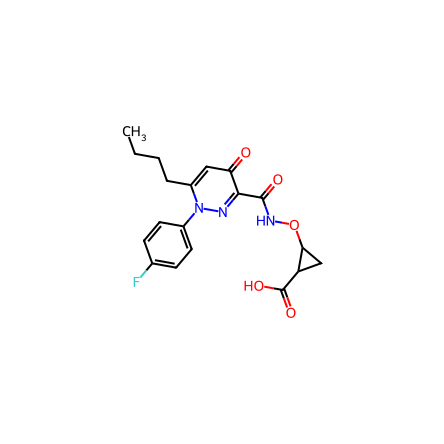 CCCCc1cc(=O)c(C(=O)NOC2CC2C(=O)O)nn1-c1ccc(F)cc1